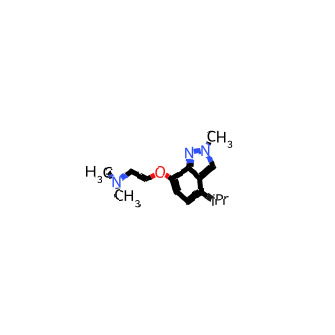 CC(C)c1ccc(OCCN(C)C)c2nn(C)cc12